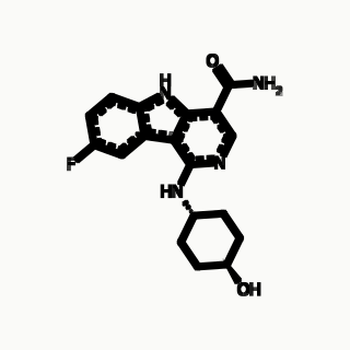 NC(=O)c1cnc(N[C@H]2CC[C@H](O)CC2)c2c1[nH]c1ccc(F)cc12